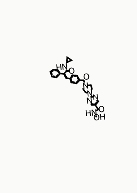 O=C(NC1CC1)C(=Cc1ccc(C(=O)N2CCN(c3ncc(C(=O)NO)cn3)CC2)cc1)c1ccccc1